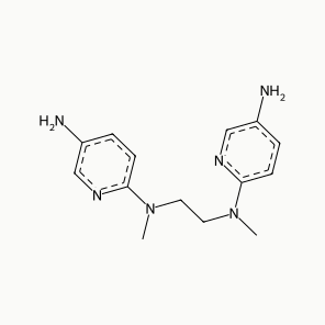 CN(CCN(C)c1ccc(N)cn1)c1ccc(N)cn1